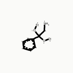 CCOC(C[SiH3])(OCC)c1ccccc1